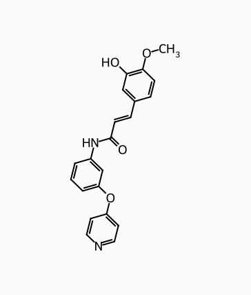 COc1ccc(C=CC(=O)Nc2cccc(Oc3ccncc3)c2)cc1O